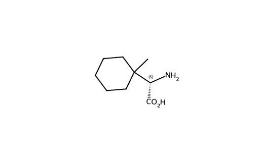 CC1([C@H](N)C(=O)O)CCCCC1